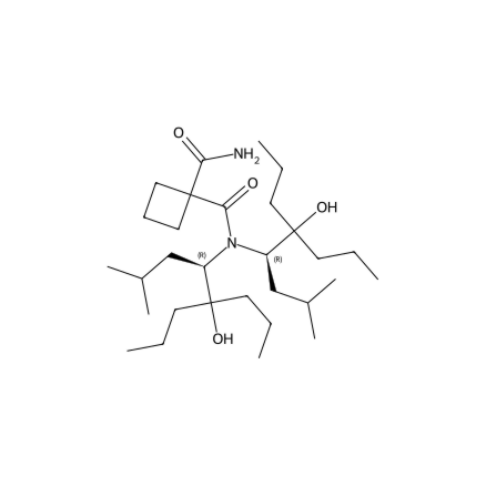 CCCC(O)(CCC)[C@@H](CC(C)C)N(C(=O)C1(C(N)=O)CCC1)[C@H](CC(C)C)C(O)(CCC)CCC